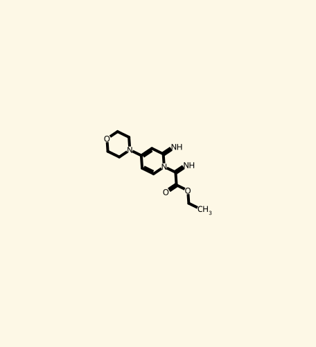 CCOC(=O)C(=N)n1ccc(N2CCOCC2)cc1=N